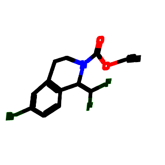 CC(C)(C)OC(=O)N1CCc2cc(Br)ccc2C1C(F)F